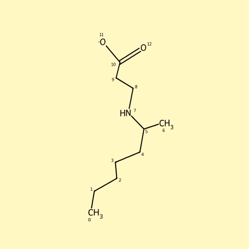 CCCCCC(C)NCCC([O])=O